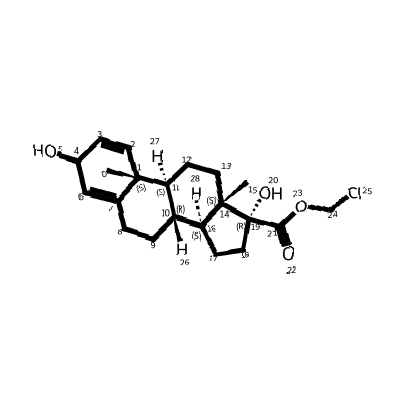 C[C@]12C=CC(O)C=C1CC[C@@H]1[C@@H]2CC[C@@]2(C)[C@H]1CC[C@]2(O)C(=O)OCCl